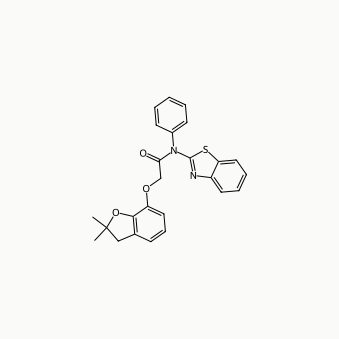 CC1(C)Cc2cccc(OCC(=O)N(c3ccccc3)c3nc4ccccc4s3)c2O1